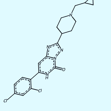 O=c1[nH]c(-c2ccc(Cl)cc2Cl)cc2nc(C3CCN(CC4CC4)CC3)nn12